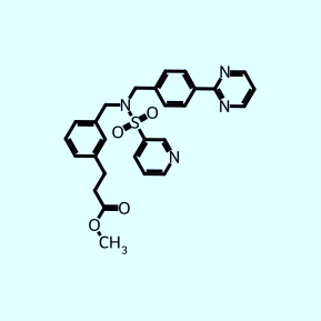 COC(=O)CCc1cccc(CN(Cc2ccc(-c3ncccn3)cc2)S(=O)(=O)c2cccnc2)c1